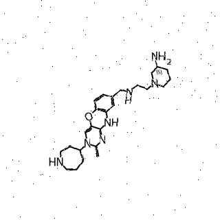 C=C1N=C2Nc3cc(CNCCN4CCC[C@H](N)C4)ccc3OC2=CN1C1CCCNCC1